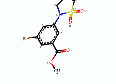 COC(=O)c1cc(Br)cc(N2CCCS2(=O)=O)c1